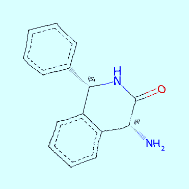 N[C@H]1C(=O)N[C@@H](c2ccccc2)c2ccccc21